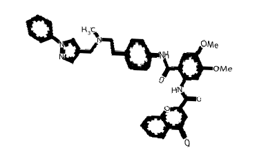 COc1cc(NC(=O)c2cc(=O)c3ccccc3o2)c(C(=O)Nc2ccc(CCN(C)Cc3cnn(-c4ccccc4)c3)cc2)cc1OC